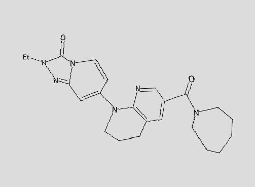 CCn1nc2cc(N3CCCc4cc(C(=O)N5CCCCCC5)cnc43)ccn2c1=O